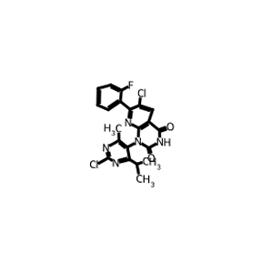 Cc1nc(Cl)nc(C(C)C)c1-n1c(=O)[nH]c(=O)c2cc(Cl)c(-c3ccccc3F)nc21